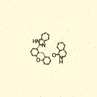 O=c1[nH]ccc2ccccc12.c1ccc2c(c1)Cc1c(cccc1-c1nc3ccccc3[nH]1)O2